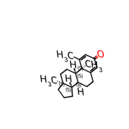 CC1=CC(=O)C=C2CC[C@H]3[C@@H]4CCC[C@@]4(C)CC[C@@H]3[C@@]12C